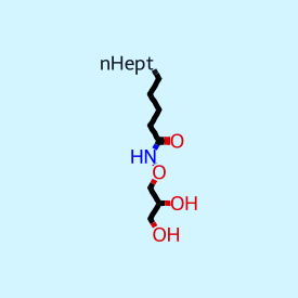 CCCCCCCCCCCC(=O)NOCC(O)CO